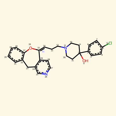 OC1(c2ccc(Cl)cc2)CCN(CC/C=C2/Oc3ccccc3Cc3cnccc32)CC1